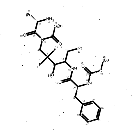 CC(C)COC(=O)N(CC(F)(F)C(O)C(CC(C)C)NC(=O)[C@H](Cc1ccccc1)NC(=O)OC(C)(C)C)C(=O)[C@@H](N)C(C)C